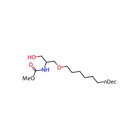 CCCCCCCCCCCCCCCCOCC(CO)NC(=O)OC